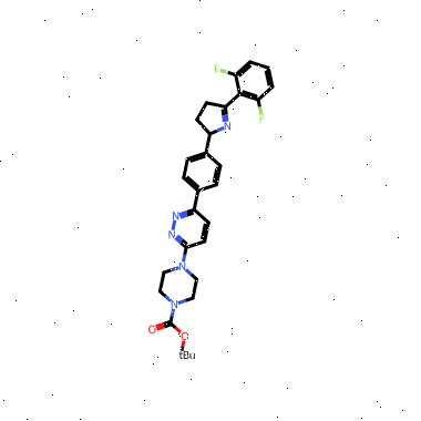 CC(C)(C)OC(=O)N1CCN(c2ccc(-c3ccc(C4CCC(c5c(F)cccc5F)=N4)cc3)nn2)CC1